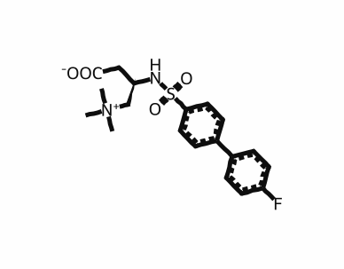 C[N+](C)(C)C[C@@H](CC(=O)[O-])NS(=O)(=O)c1ccc(-c2ccc(F)cc2)cc1